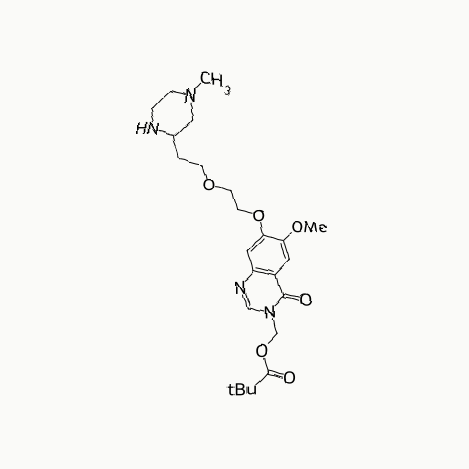 COc1cc2c(=O)n(COC(=O)C(C)(C)C)cnc2cc1OCCOCCC1CN(C)CCN1